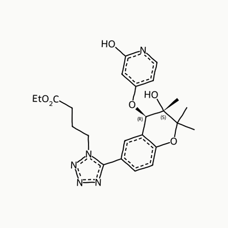 CCOC(=O)CCCn1nnnc1-c1ccc2c(c1)[C@@H](Oc1ccnc(O)c1)[C@](C)(O)C(C)(C)O2